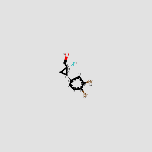 O=C[C@]1(F)C[C@H]1c1ccc(Br)c(Br)c1